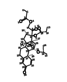 CCC(=O)OCC(=O)[C@@]1(OC(=O)CC)[C@@H](C)C[C@H]2[C@@H]3CCC4=CC(=O)C=C[C@]4(C)C3[C@@H](OC(C)C)C[C@@]21C